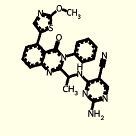 COc1ncc(-c2cccc3nc(C(C)Nc4nc(N)ncc4C#N)n(-c4ccccc4)c(=O)c23)s1